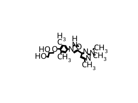 CCN(C)c1nc(C)cc(C2=CN(c3cc(C)c(OCC(O)CO)c(C)c3)NO2)n1